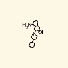 Nc1cccc2c1CC(N1CCC(c3ccccc3)CC1)C(O)C2